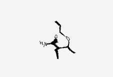 C=CCOC(C)C(=C)C(N)=O